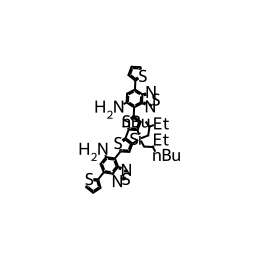 CCCCC(CC)C[Si]1(CC(CC)CCCC)c2cc(-c3c(N)cc(-c4cccs4)c4nsnc34)sc2-c2sc(-c3c(N)cc(-c4cccs4)c4nsnc34)cc21